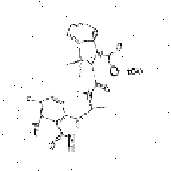 CC(c1c[nH]c(=O)c2c(F)c(F)ccc12)N(C)C(=O)C1N(C(=O)OC(C)(C)C)c2ccccc2C1(C)C